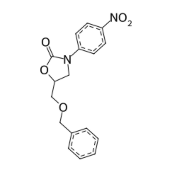 O=C1OC(COCc2ccccc2)CN1c1ccc([N+](=O)[O-])cc1